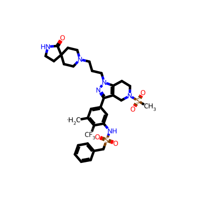 [CH2]c1cc(-c2nn(CCCN3CCC4(CCNC4=O)CC3)c3c2CN(S(C)(=O)=O)CC3)cc(NS(=O)(=O)Cc2ccccc2)c1C(F)(F)F